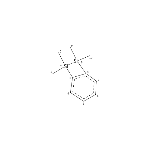 C[Si]1(C)c2ccccc2[Si]1(C)C